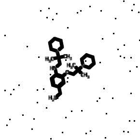 BCc1ccc(NCC(C)(C)N2CCCCC2)c(OCC(C)(C)N2CCCCC2)c1